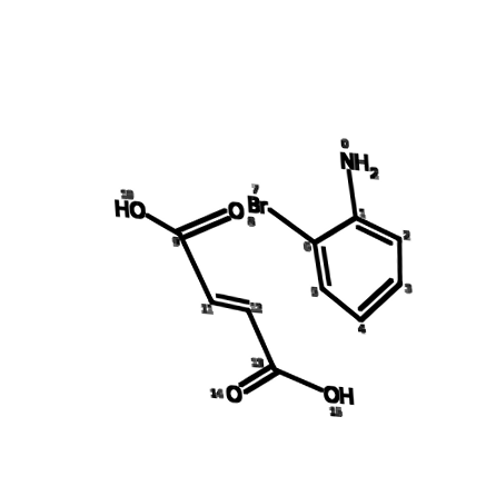 Nc1ccccc1Br.O=C(O)C=CC(=O)O